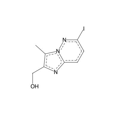 Cc1c(CO)nc2ccc(I)nn12